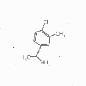 Cc1cc(C(C)N)ccc1Cl